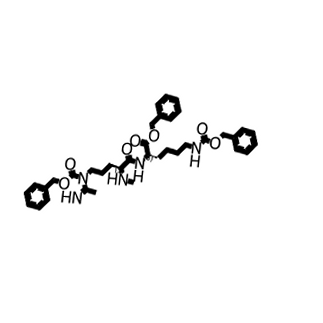 CN[C@@H](CCCN(C(C)=N)C(=O)OCc1ccccc1)C(=O)N[C@@H](CCCCNC(=O)OCc1ccccc1)C(=O)OCc1ccccc1